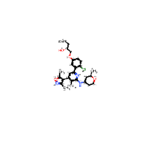 CNC[C@@H](O)COc1ccc(Cl)c(-c2cc(-c3c(C)noc3C)c(C)c(N[C@@H]3CCO[C@H](C)C3)n2)c1